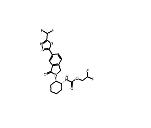 O=C(N[C@@H]1CCCC[C@H]1N1Cc2ccc(-c3nnc(C(F)F)o3)cc2C1=O)OCC(F)F